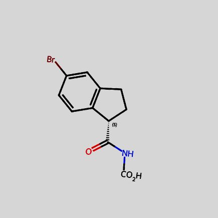 O=C(O)NC(=O)[C@H]1CCc2cc(Br)ccc21